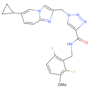 COc1ccc(F)c(CNC(=O)c2cn(Cc3cn4cc(C5CC5)ccc4n3)nn2)c1F